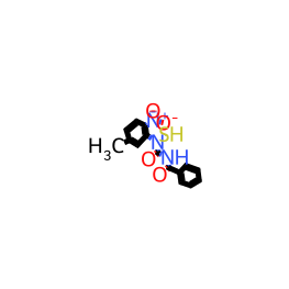 Cc1ccc([N+](=O)[O-])c(N(S)C(=O)NC(=O)c2ccccc2)c1